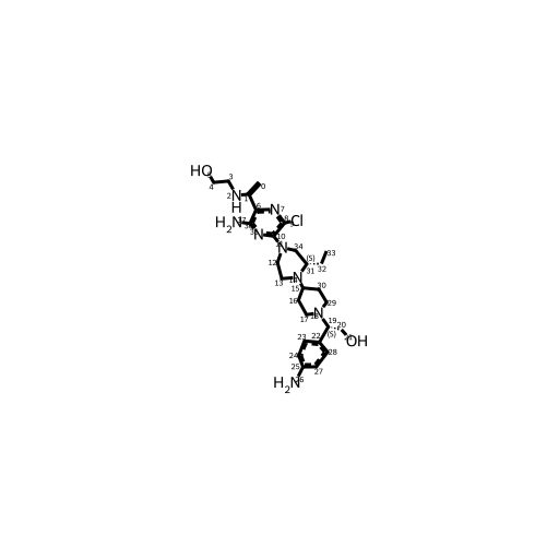 C=C(NCCO)c1nc(Cl)c(N2CCN(C3CCN([C@H](CO)c4ccc(N)cc4)CC3)[C@@H](CC)C2)nc1N